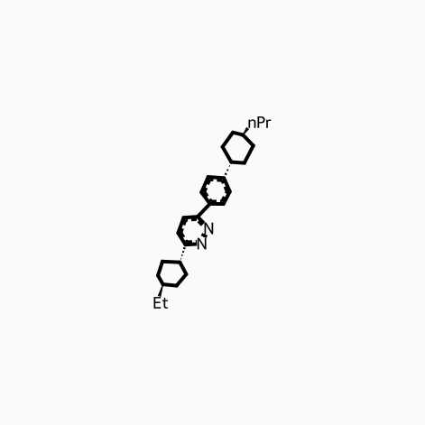 CCC[C@H]1CC[C@H](c2ccc(-c3ccc([C@H]4CC[C@H](CC)CC4)nn3)cc2)CC1